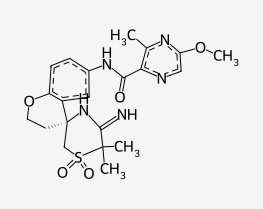 COc1cnc(C(=O)Nc2ccc3c(c2)[C@]2(CCO3)CS(=O)(=O)C(C)(C)C(=N)N2)c(C)n1